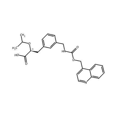 CC(C)O[C@@H](Cc1cccc(CNC(=O)OCc2ccnc3ccccc23)c1)C(=O)O